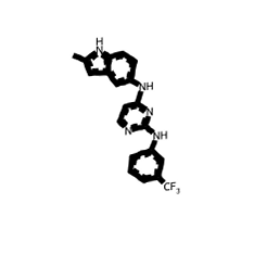 Cc1cc2cc(Nc3ccnc(Nc4cccc(C(F)(F)F)c4)n3)ccc2[nH]1